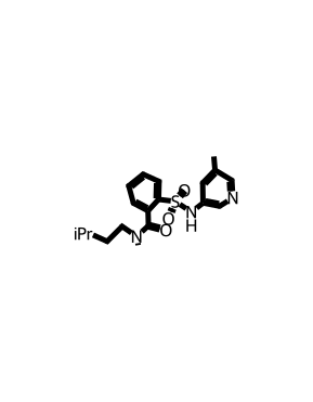 Cc1cncc(NS(=O)(=O)c2ccccc2C(=O)N(C)CCC(C)C)c1